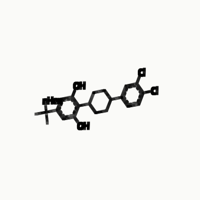 CCCCCCC(C)(C)c1cc(O)c(C2CCC(c3ccc(Cl)c(Cl)c3)CC2)c(O)c1